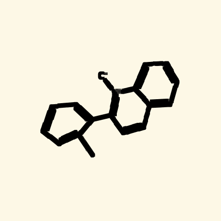 [CH2-][n+]1c(-c2ccccc2C)ccc2ccccc21